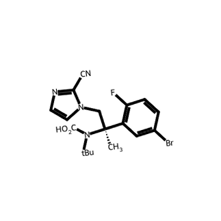 CC(C)(C)N(C(=O)O)[C@@](C)(Cn1ccnc1C#N)c1cc(Br)ccc1F